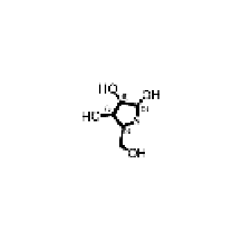 OC[C@@H]1S[C@H](O)[C@H](O)[C@@H]1O